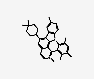 Cc1ccc2c(c1)c1c(C3CCC(C)(C)CC3)cc3cc[n+](C)c4c5c(C)c(C)cc(C)c5n2c1c34